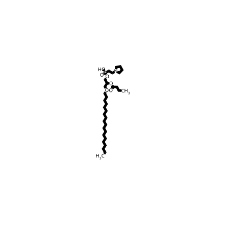 CCCCCCCCCCCCCCCCCCCOCC(COP(=O)(O)CCN1CCCC1)OC(=O)CCC